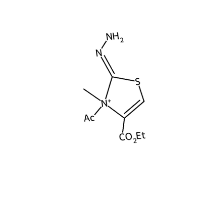 CCOC(=O)C1=CSC(=NN)[N+]1(C)C(C)=O